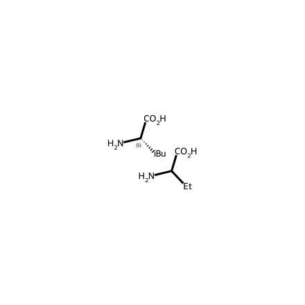 CCC(C)[C@H](N)C(=O)O.CCC(N)C(=O)O